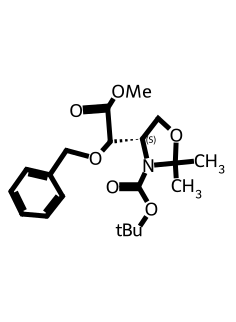 COC(=O)C(OCc1ccccc1)[C@@H]1COC(C)(C)N1C(=O)OC(C)(C)C